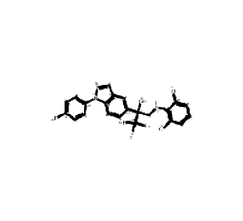 OC(CNc1c(Cl)cccc1Cl)(c1ccc2c(cnn2-c2ccc(F)cc2)c1)C(F)(F)F